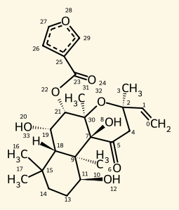 C=C[C@@]1(C)CC(=O)[C@]2(O)[C@@]3(C)[C@@H](O)CCC(C)(C)[C@@H]3[C@H](O)[C@H](OC(=O)c3ccoc3)[C@@]2(C)O1